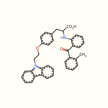 Cc1ccccc1C(=O)c1ccccc1NC(Cc1ccc(OCCn2c3ccccc3c3ccccc32)cc1)C(=O)O